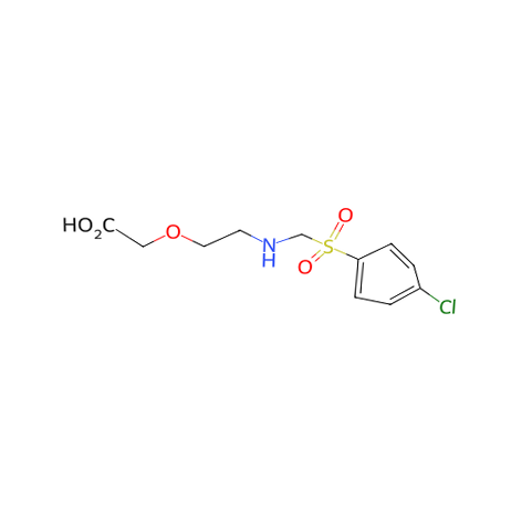 O=C(O)COCCNCS(=O)(=O)c1ccc(Cl)cc1